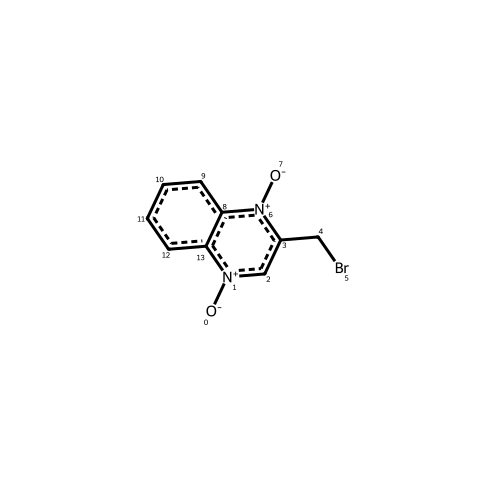 [O-][n+]1cc(CBr)[n+]([O-])c2ccccc21